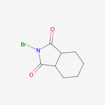 O=C1C2CCCCC2C(=O)N1Br